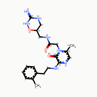 Cc1ccccc1CCNc1ncc(C)n(CC(=O)NCC2CNC(=N)NO2)c1=O